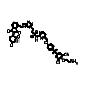 CC(C)(c1ccc(OCc2ccnc(NS(=O)(=O)CCn3cc(CNc4cccc5c4C(=O)N(C4CCC(=O)NC4=O)C5=O)nn3)n2)cc1)c1cc(Cl)c(OCCN)c(C#N)c1